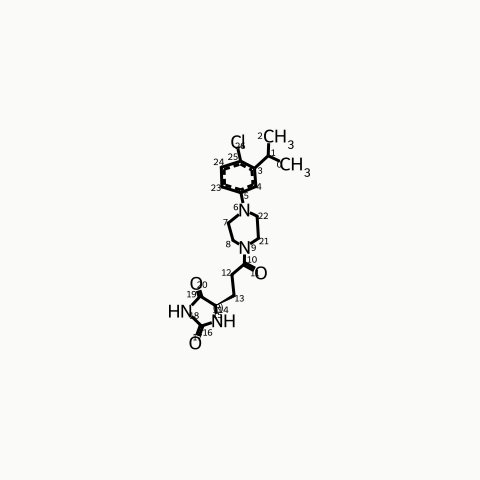 CC(C)c1cc(N2CCN(C(=O)CC[C@H]3NC(=O)NC3=O)CC2)ccc1Cl